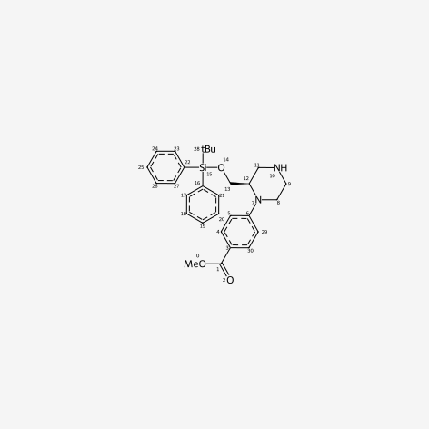 COC(=O)c1ccc(N2CCNC[C@@H]2CO[Si](c2ccccc2)(c2ccccc2)C(C)(C)C)cc1